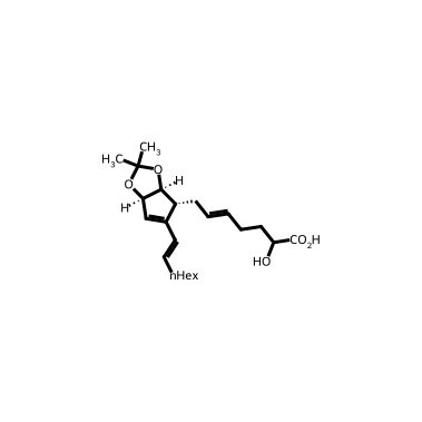 CCCCCCC=CC1=C[C@H]2OC(C)(C)O[C@H]2[C@@H]1C/C=C/CCC(O)C(=O)O